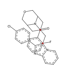 O=C(c1ccccc1F)N1C2COCC1CN(Cc1c(-c3ccc(Cl)cc3)nc3ccccn13)C2